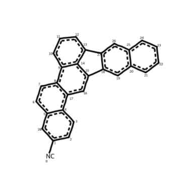 [C-]#[N+]c1ccc2c(ccc3c4cccc5c4c(cc23)-c2cc3ccccc3cc2-5)c1